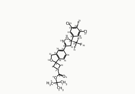 CC(C)(C)OC(=O)N1CC2(C1)OCc1cc(C3=NO[C@@](c4cc(Cl)c(F)c(Cl)c4)(C(F)(F)F)C3)ccc12